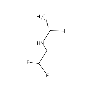 C[C@H](I)NCC(F)F